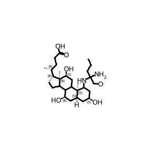 CCCC(N)(C[O])NC1C[C@@H](O)C[C@H]2C[C@@H](O)C3C(C[C@H](O)[C@@]4(C)C3CC[C@@H]4[C@H](C)CCC(=O)O)[C@@]12C